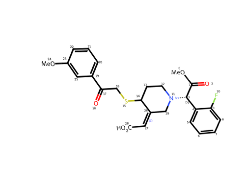 COC(=O)[C@H](c1ccccc1F)N1CCC(SCC(=O)c2cccc(OC)c2)/C(=C\C(=O)O)C1